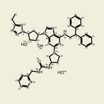 CCc1nnn([C@H]2C[C@@H](n3cnc4c(NCC(c5ccccc5)c5ccccc5)nc(N5CCC(NC(=O)NCc6ccncn6)C5)nc43)[C@H](O)[C@@H]2O)n1.Cl